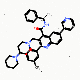 O=C(N[C@H](c1ccccc1)C(F)(F)F)c1c(CN2CCC(N3CCCCC3)CC2)c(-c2cccc(C(F)(F)F)c2)nc2ccc(-c3cccnc3)cc12